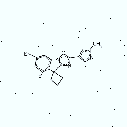 Cn1cc(-c2nc(C3(c4ccc(Br)cc4F)CCC3)no2)cn1